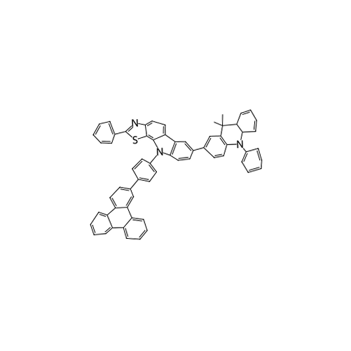 CC1(C)c2cc(-c3ccc4c(c3)c3ccc5nc(-c6ccccc6)sc5c3n4-c3ccc(-c4ccc5c6ccccc6c6ccccc6c5c4)cc3)ccc2N(c2ccccc2)C2C=CC=CC21